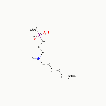 CCCCCCCCCCCCCCN(C)CCCP(=O)(O)OC